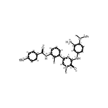 CCCN(C)c1ccc(Nc2nc(-c3cccc(NC(=O)c4ccc(C(C)(C)C)cc4)c3C)cn(C)c2=O)cc1N